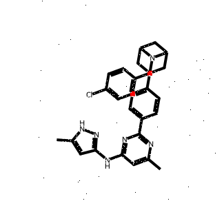 Cc1cc(Nc2cc(C)[nH]n2)nc(-c2ccc(N3CC4CC(C3)N4Cc3ccc(Cl)cc3)nc2)n1